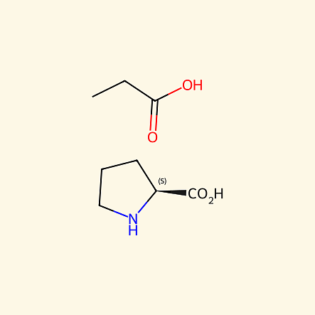 CCC(=O)O.O=C(O)[C@@H]1CCCN1